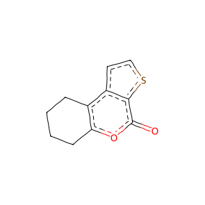 O=c1oc2c(c3ccsc13)CCCC2